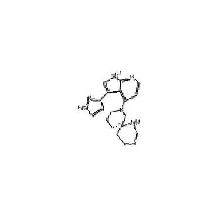 c1cc(N2CCC[C@]3(CCCCN3)C2)c2c(-c3cc[nH]n3)c[nH]c2n1